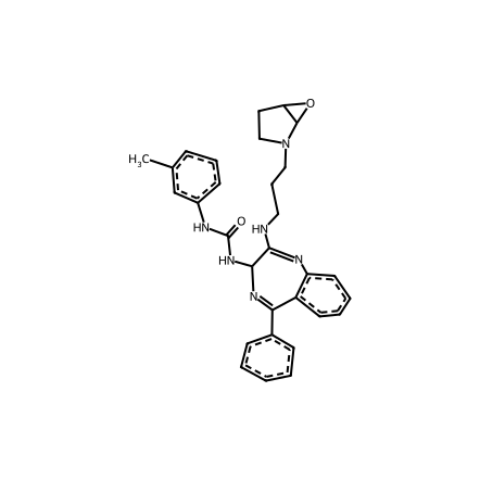 Cc1cccc(NC(=O)NC2N=C(c3ccccc3)c3ccccc3N=C2NCCCN2CCC3OC32)c1